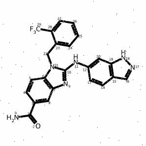 NC(=O)c1ccc2c(c1)nc(Nc1ccc3cn[nH]c3c1)n2Cc1ccccc1C(F)(F)F